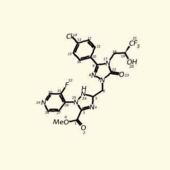 COC(=O)C1=NC(Cn2nc(-c3ccc(Cl)cc3)n(C[C@H](O)C(F)(F)F)c2=O)NN1c1ccncc1F